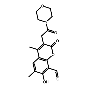 Cc1cc2c(C)c(CC(=O)N3CCOCC3)c(=O)oc2c(C=O)c1O